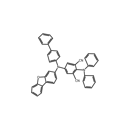 N#Cc1cc(N(c2ccc(-c3ccccc3)cc2)c2ccc3c(c2)oc2ccccc23)cc(C#N)c1N(c1ccccc1)c1ccccc1